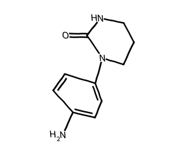 Nc1ccc(N2CCCNC2=O)cc1